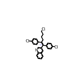 ClCCCC/C(=C(\c1ccc(Cl)cc1)c1cnc2ccccc2c1)c1ccc(Cl)cc1